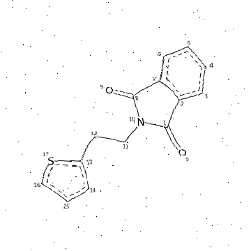 O=C1c2ccccc2C(=O)N1CCc1cccs1